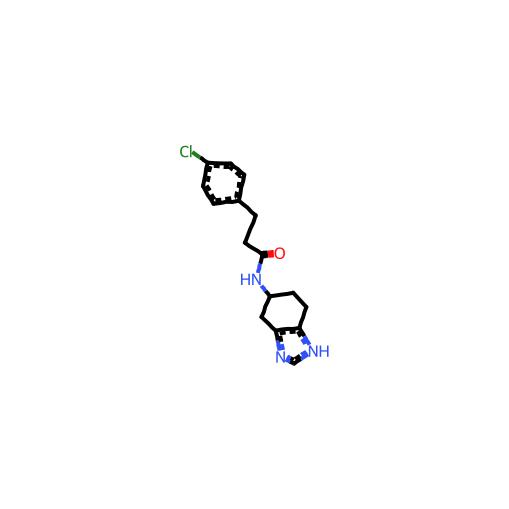 O=C(CCc1ccc(Cl)cc1)NC1CCc2[nH]cnc2C1